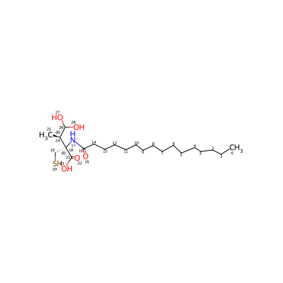 CCCCCCCCCCCCCCCC(=O)N[C@@](CS)(C(=O)O)[C@@H](C)C(O)O